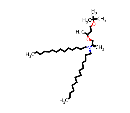 C=C(COC(C)CCOC(C)(C)C)N(CCCCCCCCCCCCCC)CCCCCCCCCCCCCC